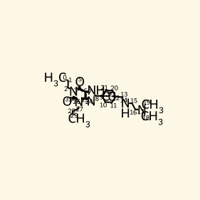 CCCn1c(=O)c2[nH]c(C34CCC(CNCCN(C)C)(CC3)CC4)nc2n(CCC)c1=O